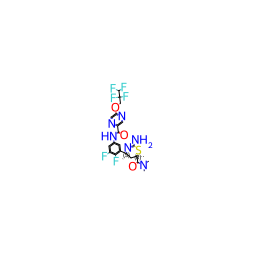 CN(C)C(=O)[C@@]1(C)C[C@@](C)(c2cc(NC(=O)c3cnc(OCC(F)(F)C(F)F)cn3)cc(F)c2F)N=C(N)S1